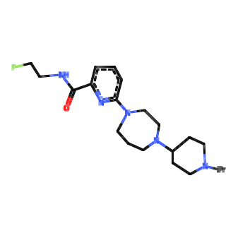 CC(C)N1CCC(N2CCCN(c3cccc(C(=O)NCCF)n3)CC2)CC1